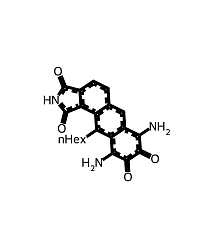 CCCCCCc1c2c(N)c(=O)c(=O)c(N)c2cc2ccc3c(=O)[nH]c(=O)c3c12